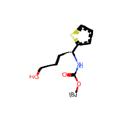 CC(C)(C)OC(=O)N[C@@H](CCCO)c1cccs1